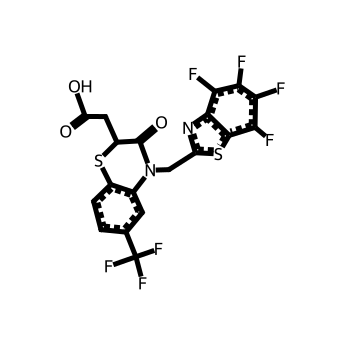 O=C(O)CC1Sc2ccc(C(F)(F)F)cc2N(Cc2nc3c(F)c(F)c(F)c(F)c3s2)C1=O